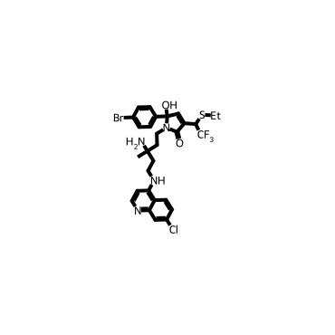 CCSC(C1=CC(O)(c2ccc(Br)cc2)N(CCC(C)(N)CCNc2ccnc3cc(Cl)ccc23)C1=O)C(F)(F)F